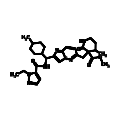 CCn1nccc1C(=O)N[C@H](c1cn2nc(CC3(C(=O)OC)C(=O)NCCC3C)ccc2n1)C1CCC(C)CC1